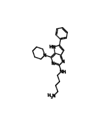 NCCCCNc1nc(N2CCCCC2)c2[nH]c(-c3ccccc3)cc2n1